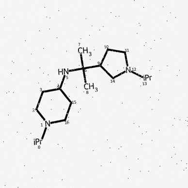 CC(C)N1CCC(NC(C)(C)C2CCN(C(C)C)C2)CC1